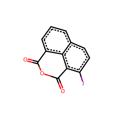 O=C1OC(=O)c2c(I)ccc3cccc1c23